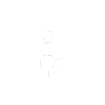 C/C=C(\C=C/C(O)CC)CC1=CCC(C)=C(O)C(C)=C1